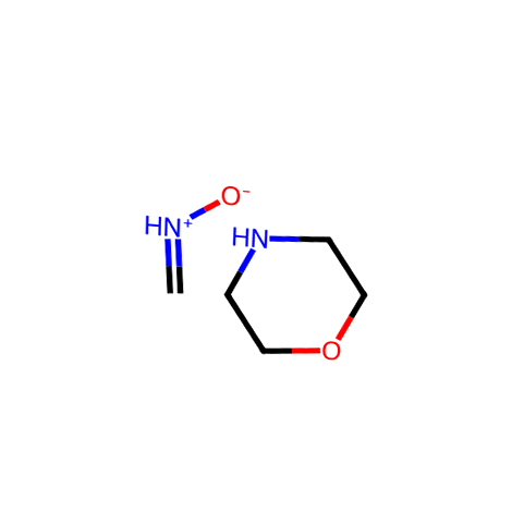 C1COCCN1.C=[NH+][O-]